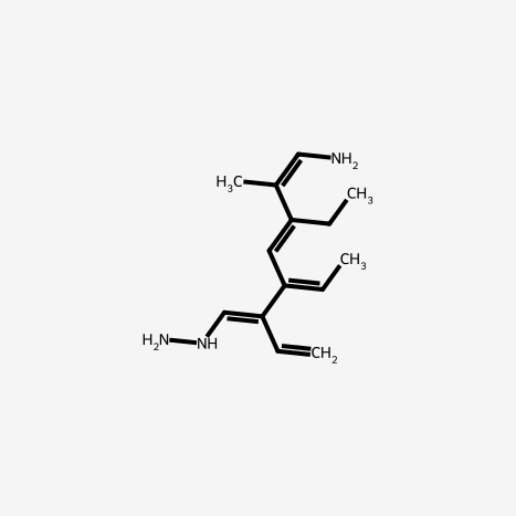 C=CC(=C\NN)/C(/C=C(CC)/C(C)=C\N)=C/C